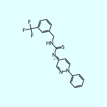 FC(F)(F)c1cccc(CNC(=S)/N=c2\ccn(-c3ccccc3)nc2)c1